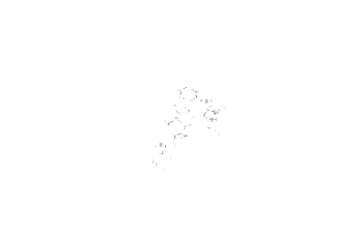 CCC(=O)NCc1ccc(C(=O)N2Cc3c(C)nn(C)c3Nc3ccccc32)cc1F